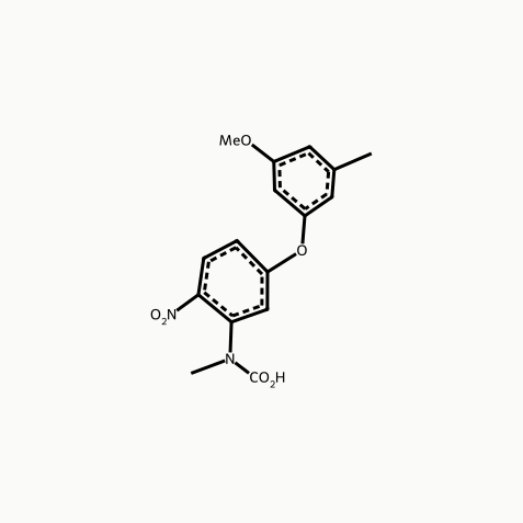 COc1cc(C)cc(Oc2ccc([N+](=O)[O-])c(N(C)C(=O)O)c2)c1